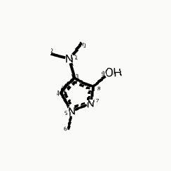 CN(C)c1cn(C)nc1O